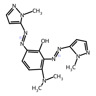 CN(C)c1ccc(/N=N/c2ccnn2C)c(O)c1/N=N/c1ccnn1C